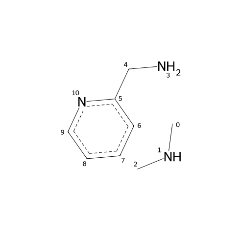 CNC.NCc1ccccn1